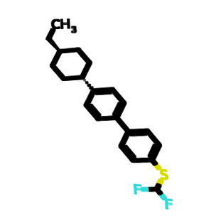 CC[C@H]1CC[C@H](c2ccc(-c3ccc(SC(F)F)cc3)cc2)CC1